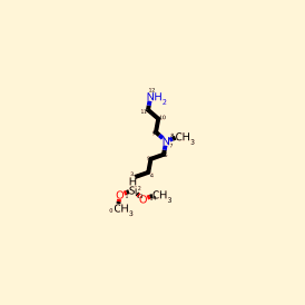 CO[SiH](CCCCN(C)CCCN)OC